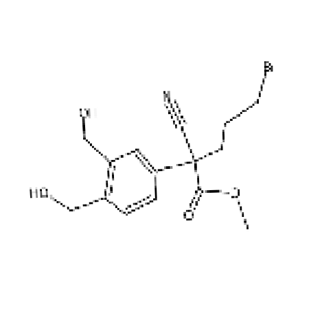 COC(=O)C(C#N)(CCCBr)c1ccc(CO)c(CO)c1